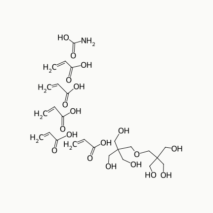 C=CC(=O)O.C=CC(=O)O.C=CC(=O)O.C=CC(=O)O.C=CC(=O)O.NC(=O)O.OCC(CO)(CO)COCC(CO)(CO)CO